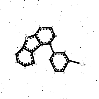 Clc1cccc(-c2cccc3oc4ccccc4c23)c1